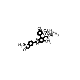 CCOC(=O)[C@@H](OC(C)(C)C)c1c(C)cc2nc(-c3ccc4c(c3)CC(=O)N4C)sc2c1-c1ccc(Cl)cc1